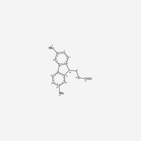 CC(C)(C)c1ccc2c(c1)-c1ccc(C(C)(C)C)cc1C2CO[C]=O